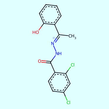 C/C(=N\NC(=O)c1ccc(Cl)cc1Cl)c1ccccc1O